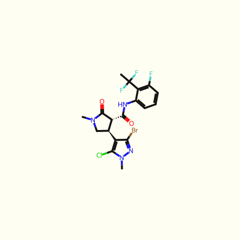 CN1C[C@H](c2c(Br)nn(C)c2Cl)[C@@H](C(=O)Nc2cccc(F)c2C(C)(F)F)C1=O